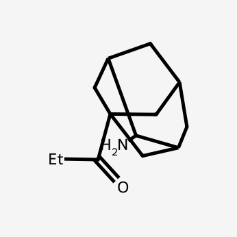 CCC(=O)C12CC3CC(C1)C(N)C(C3)C2